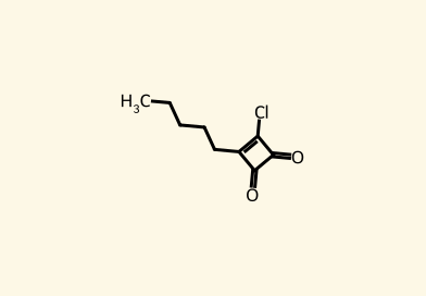 CCCCCc1c(Cl)c(=O)c1=O